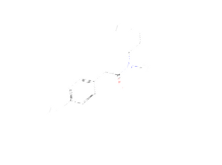 CCOC(=O)CCN(CC)C(=O)Cc1ccc(C)cc1